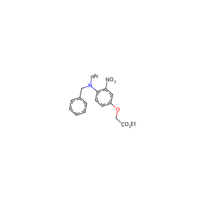 CCCN(Cc1ccccc1)c1ccc(OCC(=O)OCC)cc1[N+](=O)[O-]